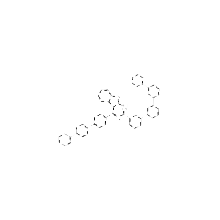 c1ccc(-c2ccc(-c3ccc(-c4nc(-c5cccc(-c6cccc(-c7cccc(-c8ccccc8)c7)c6)c5)nc5sc6ccccc6c45)cc3)cc2)cc1